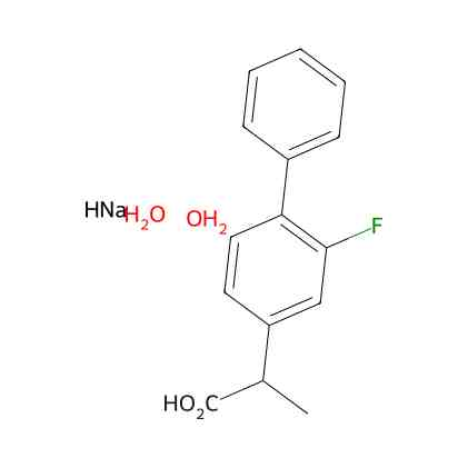 CC(C(=O)O)c1ccc(-c2ccccc2)c(F)c1.O.O.[NaH]